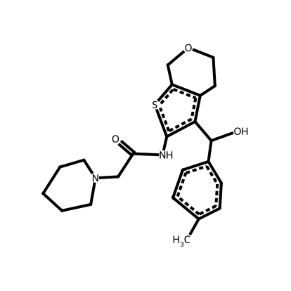 Cc1ccc(C(O)c2c(NC(=O)CN3CCCCC3)sc3c2CCOC3)cc1